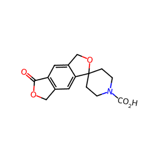 O=C1OCc2cc3c(cc21)COC31CCN(C(=O)O)CC1